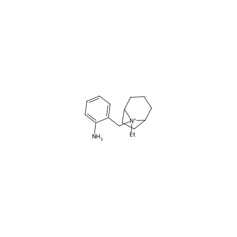 CC[N+]1(Cc2ccccc2N)C2C[CH]CC1CC2